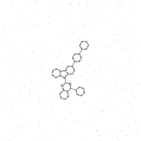 c1ccc(-c2ccc(-c3ccc4c(c3)c3ccccc3n4-c3nc(-c4ccccc4)c4ccccc4n3)cc2)cc1